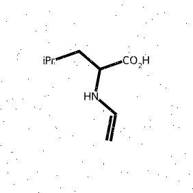 C=CNC(CC(C)C)C(=O)O